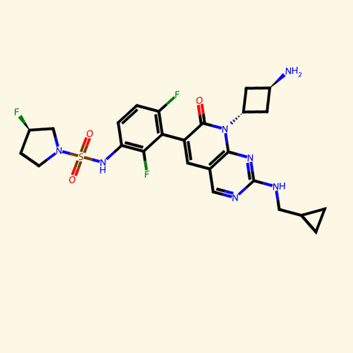 N[C@H]1C[C@H](n2c(=O)c(-c3c(F)ccc(NS(=O)(=O)N4CC[C@@H](F)C4)c3F)cc3cnc(NCC4CC4)nc32)C1